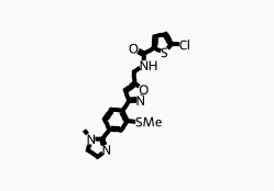 CSc1cc(C2=NCCN2C)ccc1-c1cc(CNC(=O)c2ccc(Cl)s2)on1